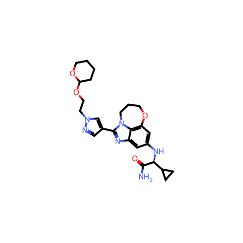 NC(=O)[C@@H](Nc1cc2c3c(c1)nc(-c1cnn(CCOC4CCCCO4)c1)n3CCCO2)C1CC1